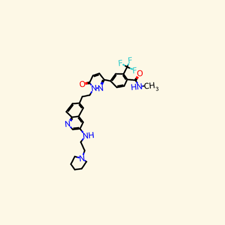 CNC(=O)c1ccc(-c2ccc(=O)n(CCc3ccc4ncc(NCCN5CCCCC5)cc4c3)n2)cc1C(F)(F)F